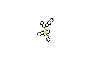 C[SH]123CC=CC=C1P(c1cc4ccccc4c4c1Cc1cc5ccccc5cc1-4)c1cc4ccccc4c(c12)-c1cc2ccccc2cc13